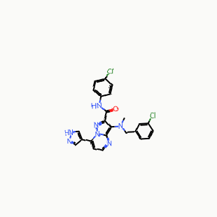 CN(Cc1cccc(Cl)c1)c1c(C(=O)Nc2ccc(Cl)cc2)nn2c(-c3cn[nH]c3)ccnc12